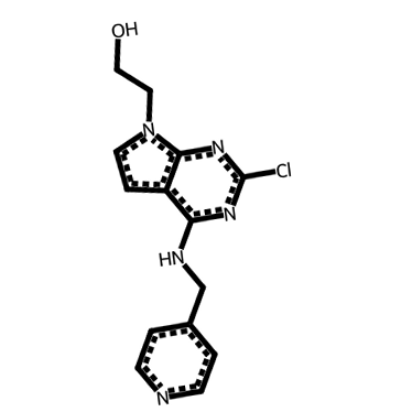 OCCn1ccc2c(NCc3ccncc3)nc(Cl)nc21